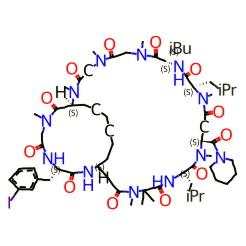 CC[C@H](C)[C@@H]1NC(=O)[C@H](CC(C)C)N(C)C(=O)C[C@@H](C(=O)N2CCCCC2)N(C)C(=O)[C@H](CC(C)C)NC(=O)C(C)(C)N(C)C(=O)[C@@H]2CCCCCC[C@@H](C(=O)N(C)CC(=O)N[C@@H](Cc3cccc(I)c3)C(=O)N2)N(C)C(=O)CN(C)C(=O)CN(C)C1=O